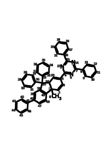 CC12C=CC(c3nc(-c4ccccc4)nc(-c4ccccc4)n3)=CC1C(c1ccccc1)(c1ccccc1)c1cc(-c3ccccc3)ccc12